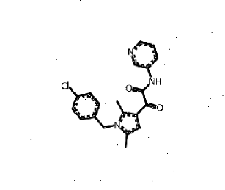 Cc1cc(C(=O)C(=O)Nc2cccnc2)c(C)n1Cc1ccc(Cl)cc1